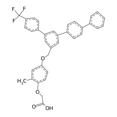 Cc1cc(OCc2cc(-c3ccc(-c4ccccc4)cc3)cc(-c3ccc(C(F)(F)F)cc3)c2)ccc1OCC(=O)O